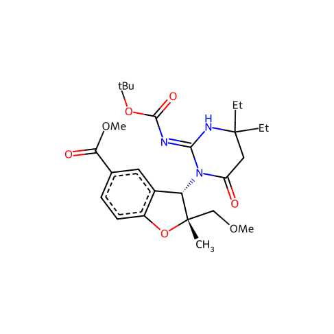 CCC1(CC)CC(=O)N([C@H]2c3cc(C(=O)OC)ccc3O[C@@]2(C)COC)/C(=N/C(=O)OC(C)(C)C)N1